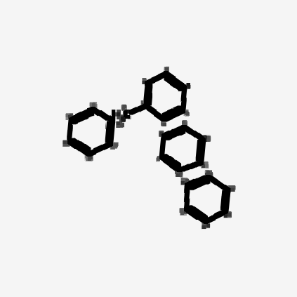 Cc1ccccc1.c1ccccc1.c1ccccc1.c1ccccc1